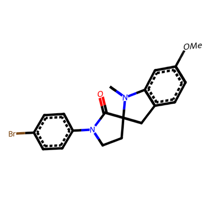 COc1ccc2c(c1)N(C)C1(CCN(c3ccc(Br)cc3)C1=O)C2